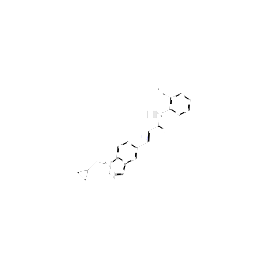 O=C(/C=C/c1ccc2c(cnn2CC2CC2)c1)Nc1ccccc1[N+](=O)[O-]